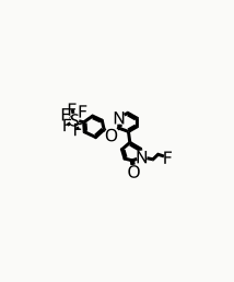 O=c1ccc(-c2cccnc2Oc2ccc(S(F)(F)(F)(F)F)cc2)cn1CCF